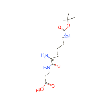 CC(C)(C)OC(=O)NCCCC[C@H](N)C(=O)NCCC(=O)O